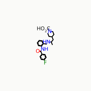 CC(CC1CCN(C(=O)O)CC1)NCc1ccccc1NC(=O)c1ccc(F)cc1